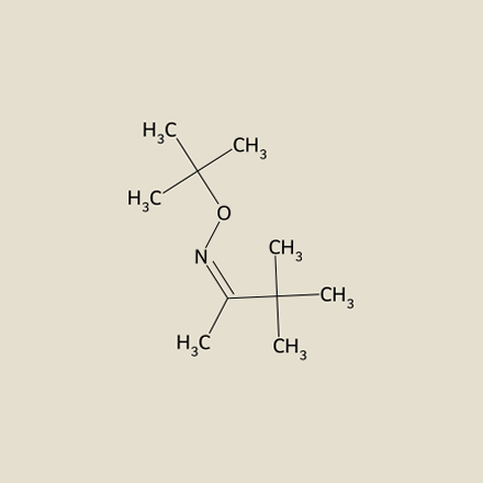 CC(=NOC(C)(C)C)C(C)(C)C